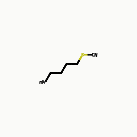 CCCCCCCSC#N